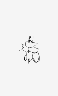 COC(C)C(=O)N(c1ccccc1F)C1CCNCC1C